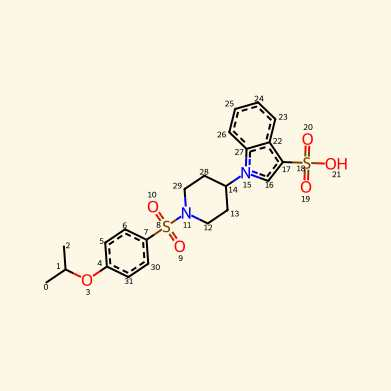 CC(C)Oc1ccc(S(=O)(=O)N2CCC(n3cc(S(=O)(=O)O)c4ccccc43)CC2)cc1